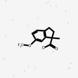 CC1(C(=O)Cl)CCc2ccc(OC(F)(F)F)cc21